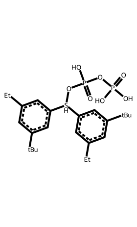 CCc1cc([SH](OP(=O)(O)OP(=O)(O)O)c2cc(CC)cc(C(C)(C)C)c2)cc(C(C)(C)C)c1